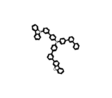 c1ccc(-c2cccc(-c3ccc(N(c4ccc(-c5cccc(-c6ccc7c(c6)oc6ccccc67)c5)cc4)c4ccc(-c5cccc(-n6c7ccccc7c7ccccc76)c5)cc4)cc3)c2)cc1